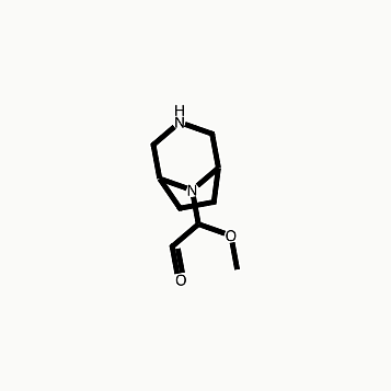 COC(C=O)N1C2CCC1CNC2